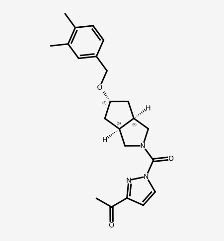 CC(=O)c1ccn(C(=O)N2C[C@H]3C[C@H](OCc4ccc(C)c(C)c4)C[C@H]3C2)n1